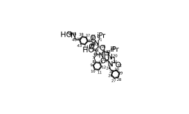 CC(C)CN(C[C@H](O)[C@H](Cc1ccccc1)NC(=O)[C@H](C(C)C)N1CC(=O)N(Cc2ccccc2)C1=O)S(=O)(=O)c1ccc(C=NO)cc1